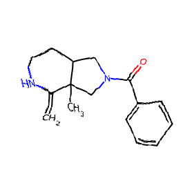 C=C1NCCC2CN(C(=O)c3ccccc3)CC12C